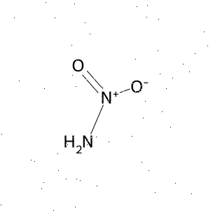 N[N+](=O)[O-]